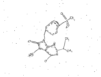 CC(C)c1nc(Cl)c2c(n1)n(Cc1ccc(S(C)(=O)=O)cc1)c(=O)n2S